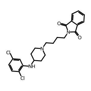 O=C1c2ccccc2C(=O)N1CCCCN1CCC(Nc2cc(Cl)ccc2Cl)CC1